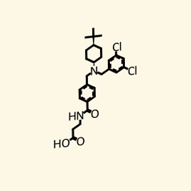 CC(C)(C)[C@H]1CC[C@H](N(Cc2ccc(C(=O)NCCC(=O)O)cc2)Cc2cc(Cl)cc(Cl)c2)CC1